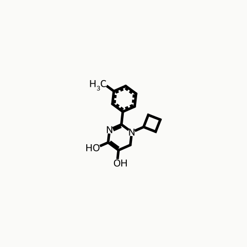 Cc1cccc(C2=NC(O)=C(O)CN2C2CCC2)c1